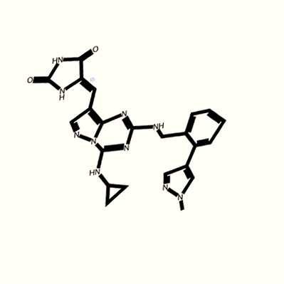 Cn1cc(-c2ccccc2CNc2nc(NC3CC3)n3ncc(/C=C4\NC(=O)NC4=O)c3n2)cn1